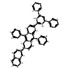 c1ccc(-c2cc(-c3ccccc3)nc(-c3ccc4c(-c5ccccc5)c5cc(-c6ccc7ccccc7c6)ccc5c(-c5ccccc5)c4c3)n2)cc1